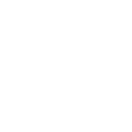 CC1=C(C)C(C)c2cccc(P(C3CCCCC3)C3CCCCC3)c21.FB(F)F